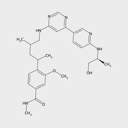 CNC(=O)c1ccc(C(C)CC(C)CNc2cc(-c3ccc(N[C@@H](C)CO)nc3)ncn2)c(OC)c1